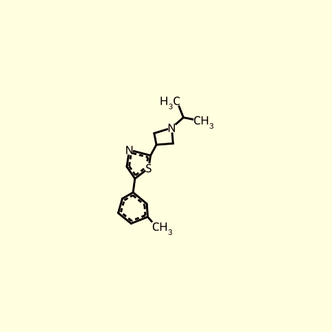 Cc1cccc(-c2cnc(C3CN(C(C)C)C3)s2)c1